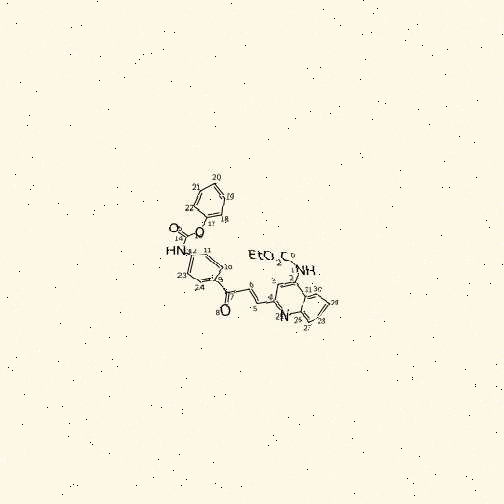 CCOC(=O)Nc1cc(C=CC(=O)c2ccc(NC(=O)Oc3ccccc3)cc2)nc2ccccc12